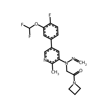 C=NN(CC(=O)N1CCC1)c1cc(-c2ccc(F)c(OC(F)F)c2)cnc1C